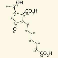 CC(O)[C@@H]1CC(=O)C(CCCCCCC(=O)O)[C@@H]1C(=O)O